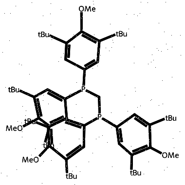 COc1c(C(C)(C)C)cc(P(CP(c2cc(C(C)(C)C)c(OC)c(C(C)(C)C)c2)c2cc(C(C)(C)C)c(OC)c(C(C)(C)C)c2)c2cc(C(C)(C)C)c(OC)c(C(C)(C)C)c2)cc1C(C)(C)C